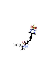 CC(C)[C@H](NC(=O)CCCC#Cc1cnc(S(C)(=O)=O)nc1)C(=O)O